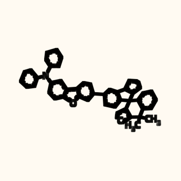 CC1(C)c2ccccc2C2(c3ccccc3-c3cc(-c4ccc5c(c4)oc4ccc(N(c6ccccc6)c6ccccc6)cc45)ccc32)c2ccccc21